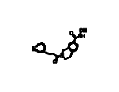 O=C(NO)c1ccc2c(c1)CN(C(=O)CCc1cccnc1)CC2